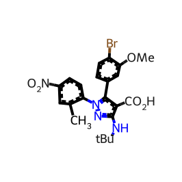 COc1cc(-c2c(C(=O)O)c(NC(C)(C)C)nn2-c2ccc([N+](=O)[O-])cc2C)ccc1Br